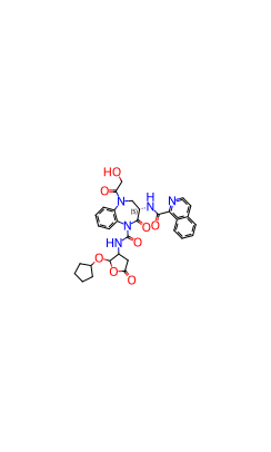 O=C1CC(NC(=O)N2C(=O)[C@@H](NC(=O)c3nccc4ccccc34)CN(C(=O)CO)c3ccccc32)C(OC2CCCC2)O1